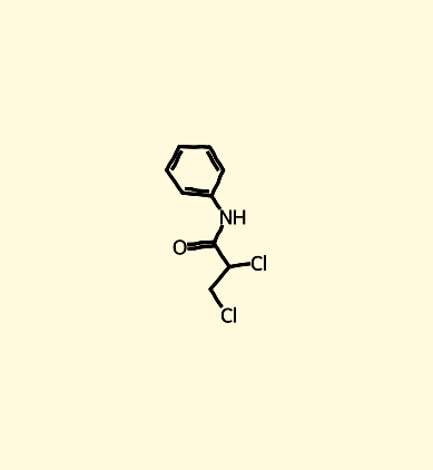 O=C(Nc1ccccc1)C(Cl)CCl